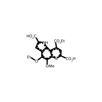 CCOC(=O)c1cc(C(=O)O)nc2c(OC)c(OCC)c3cc(C(=O)O)[nH]c3c12